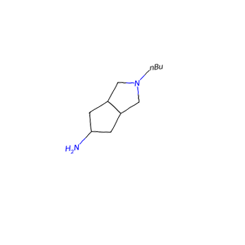 CCCCN1CC2CC(N)CC2C1